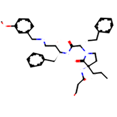 CC[C@H](C)[C@@]1(NC(=O)CCO)CCN([C@@H](CCc2ccccc2)C(=O)N[C@@H](Cc2ccccc2)[C@@H](O)CNCc2cccc(OC)c2)C1=O